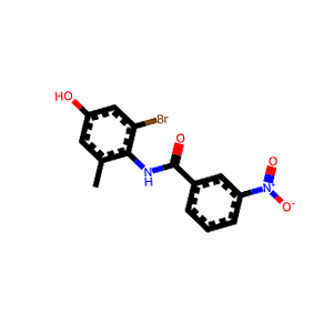 Cc1cc(O)cc(Br)c1NC(=O)c1cccc([N+](=O)[O-])c1